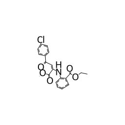 CCOC(=O)c1ccccc1NC(=CC(=O)c1ccc(Cl)cc1)C(=O)OC